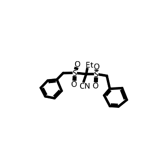 CCC(C#N)(S(=O)(=O)Cc1ccccc1)S(=O)(=O)Cc1ccccc1